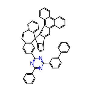 C1=Cc2ccc(-c3nc(-c4ccccc4)nc(-c4cccc(-c5ccccc5)c4)n3)cc2C2(c3ccccc31)c1ccccc1-c1cc3c4ccccc4c4ccccc4c3cc12